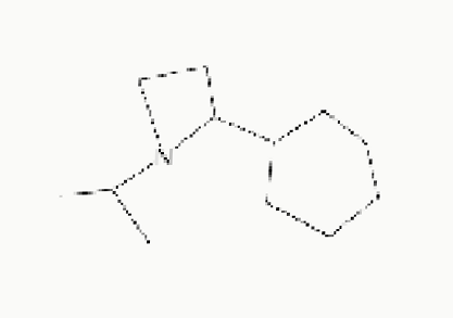 CC(C)N1CCC1C1CCCCC1